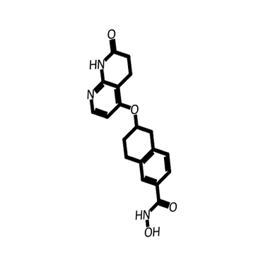 O=C1CCc2c(OC3CCc4cc(C(=O)NO)ccc4C3)ccnc2N1